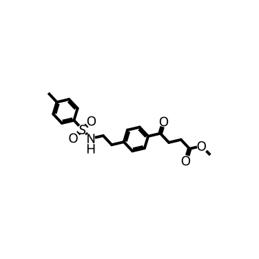 COC(=O)CCC(=O)c1ccc(CCNS(=O)(=O)c2ccc(C)cc2)cc1